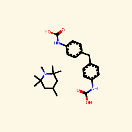 CC1CC(C)(C)N(C)C(C)(C)C1.O=C(O)Nc1ccc(Cc2ccc(NC(=O)O)cc2)cc1